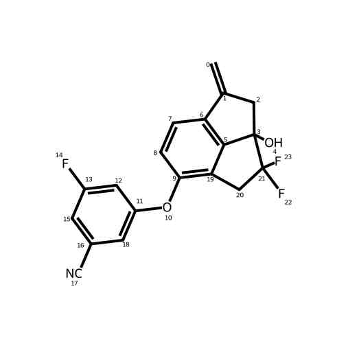 C=C1CC2(O)c3c1ccc(Oc1cc(F)cc(C#N)c1)c3CC2(F)F